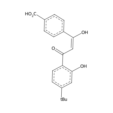 CC(C)(C)c1ccc(C(=O)/C=C(/O)c2ccc(C(=O)O)cc2)c(O)c1